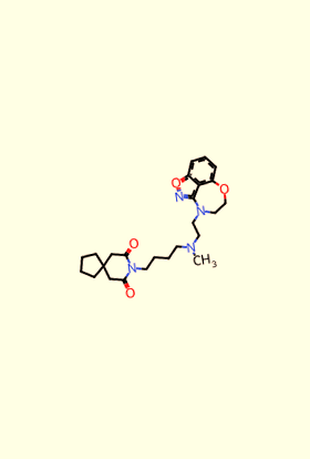 CN(CCCCN1C(=O)CC2(CCCC2)CC1=O)CCN1CCOc2cccc3onc1c23